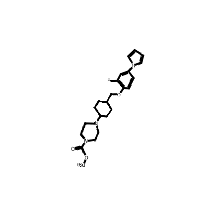 CC(C)(C)OC(=O)N1CCN(C2CCC(COc3ccc(-n4cccc4)cc3F)CC2)CC1